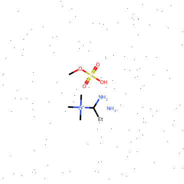 CCC(N)[N+](C)(C)C.COS(=O)(=O)O.N